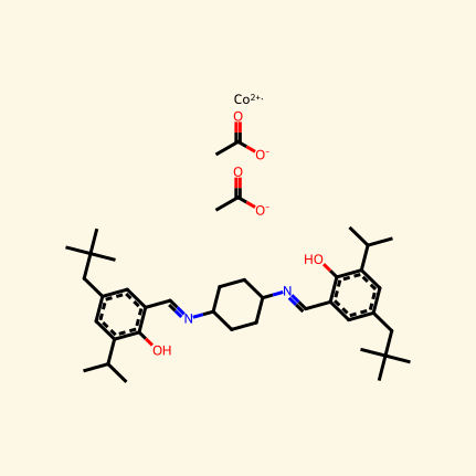 CC(=O)[O-].CC(=O)[O-].CC(C)c1cc(CC(C)(C)C)cc(C=NC2CCC(N=Cc3cc(CC(C)(C)C)cc(C(C)C)c3O)CC2)c1O.[Co+2]